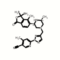 BC1(B)OC(=O)c2ccc([C@@H]3CN(Cc4cnn(-c5cc(C)c(C#N)cn5)n4)C[C@H](C)N3)c(C)c21